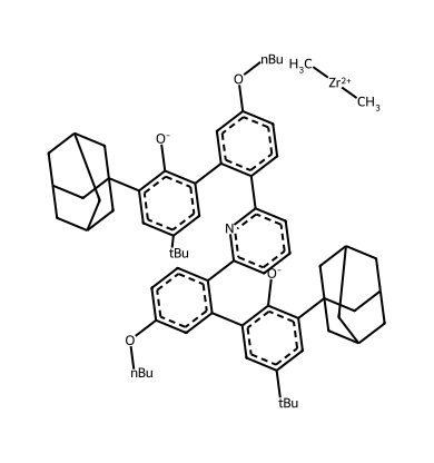 CCCCOc1ccc(-c2cccc(-c3ccc(OCCCC)cc3-c3cc(C(C)(C)C)cc(C45CC6CC(CC(C6)C4)C5)c3[O-])n2)c(-c2cc(C(C)(C)C)cc(C34CC5CC(CC(C5)C3)C4)c2[O-])c1.[CH3][Zr+2][CH3]